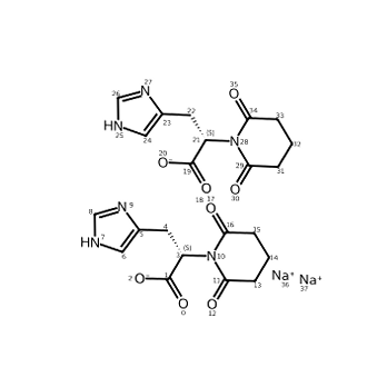 O=C([O-])[C@H](Cc1c[nH]cn1)N1C(=O)CCCC1=O.O=C([O-])[C@H](Cc1c[nH]cn1)N1C(=O)CCCC1=O.[Na+].[Na+]